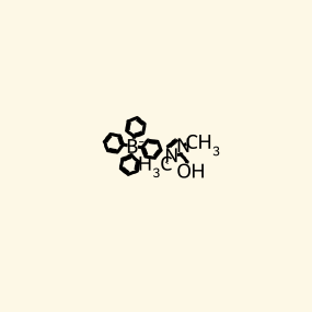 CN1C=CN(C)C1CO.c1ccc([B-](c2ccccc2)(c2ccccc2)c2ccccc2)cc1